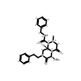 CCCC[C@H]1C(=O)N(CCc2ccccc2)C[C@H]2N1C(=O)CN(C)N2C(=O)NCc1ccccc1